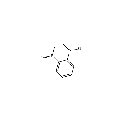 CC[P@@](C)c1ccccc1[P@](C)CC